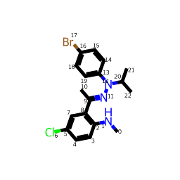 CNc1ccc(Cl)cc1/C(C)=N/N(c1ccc(Br)cc1)C(C)C